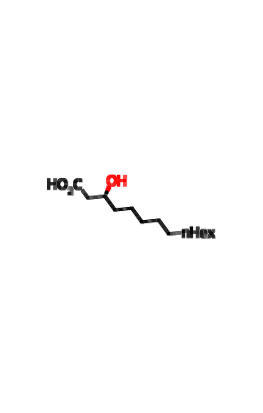 CCCCCCCCCCC[C@H](O)CC(=O)O